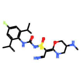 CN[C@H]1CN/C(=C(C=N)/[SH](=O)=N/C(=O)Nc2c(C(C)C)cc(F)cc2C(C)C)OC1